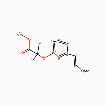 CCCOC(=O)C(C)(C)Oc1cccc(/C=C/OC)c1